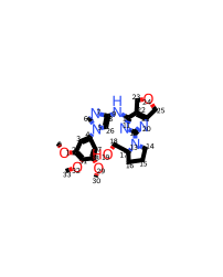 COc1cc(-n2cnc(Nc3nc(N4CCCC4CO)nc4c3COC4)c2)cc(OC)c1OC